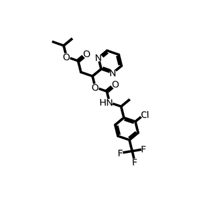 CC(C)OC(=O)CC(OC(=O)NC(C)c1ccc(C(F)(F)F)cc1Cl)c1ncccn1